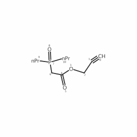 C#CCOC(=O)CP(=O)(CCC)CCC